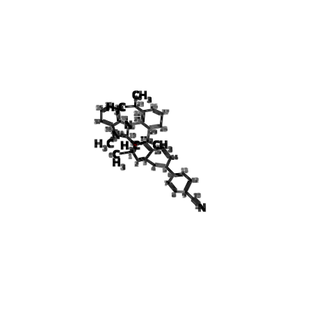 Cc1cc2cc(-c3ccc(C#N)cc3)ccc2cc1-c1n(-c2c(C(C)C)cccc2C(C)C)c2ccccc2[n+]1C